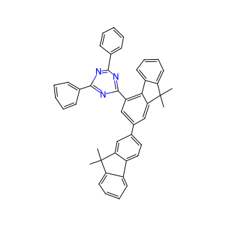 CC1(C)c2ccccc2-c2ccc(-c3cc(-c4nc(-c5ccccc5)nc(-c5ccccc5)n4)c4c(c3)C(C)(C)c3ccccc3-4)cc21